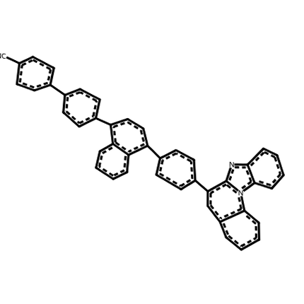 N#Cc1ccc(-c2ccc(-c3ccc(-c4ccc(-c5cc6ccccc6n6c5nc5ccccc56)cc4)c4ccccc34)cc2)cc1